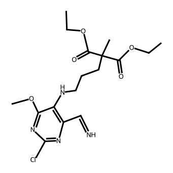 CCOC(=O)C(C)(CCCNc1c(C=N)nc(Cl)nc1OC)C(=O)OCC